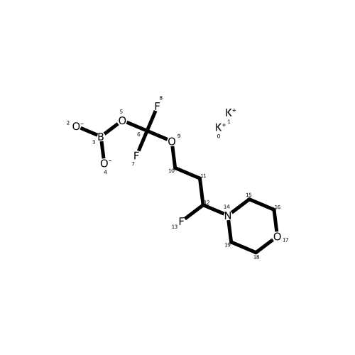 [K+].[K+].[O-]B([O-])OC(F)(F)OCCC(F)N1CCOCC1